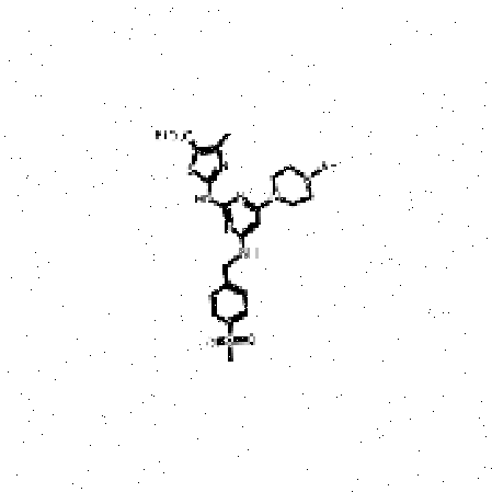 CCOC(=O)c1sc(Nc2nc(NCc3ccc(S(C)(=O)=O)cc3)cc(N3CCN(C(C)=O)CC3)n2)nc1C